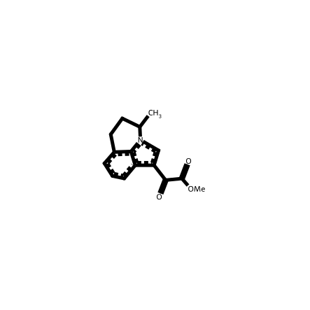 COC(=O)C(=O)c1cn2c3c(cccc13)CCC2C